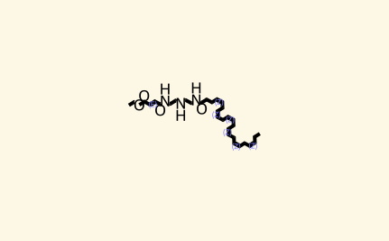 CC/C=C\C/C=C\C/C=C\C/C=C\C/C=C\C/C=C\CCC(=O)NCCNCCNC(=O)/C=C/C(=O)OCC